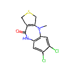 CN1C2=C(CSC2)C(=O)Nc2cc(Cl)c(Cl)cc21